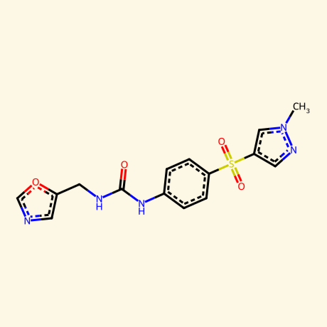 Cn1cc(S(=O)(=O)c2ccc(NC(=O)NCc3cnco3)cc2)cn1